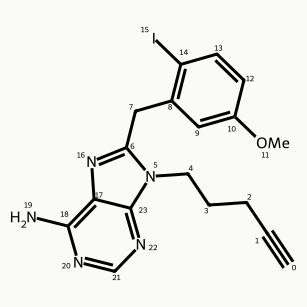 C#CCCCn1c(Cc2cc(OC)ccc2I)nc2c(N)ncnc21